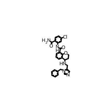 NC(=O)c1ccc(Cl)cc1NC(=O)c1cccc2c1OCCC2NCc1cncn1Cc1ccccc1